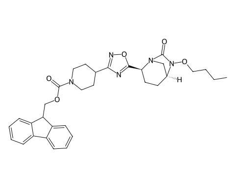 CCCCON1C(=O)N2C[C@@H]1CC[C@H]2c1nc(C2CCN(C(=O)OCC3c4ccccc4-c4ccccc43)CC2)no1